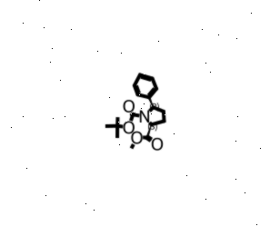 COC(=O)[C@@H]1CC[C@H](c2ccccc2)N1C(=O)OC(C)(C)C